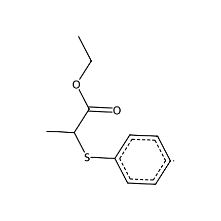 CCOC(=O)C(C)Sc1cc[c]cc1